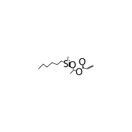 C=CC(=O)OC(C)O[Si](C)(C)CCCCCC